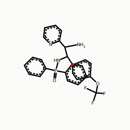 NC(c1ccccn1)C(NP(=O)(c1ccccc1)c1ccccc1)c1ccc(OC(F)(F)F)cc1